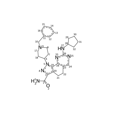 NC(=O)c1nn(C2CCN(Cc3ccccc3)CC2)c2c1CCc1cnc(NC3CCCC3)nc1-2